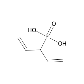 C=CC(C=C)P(=O)(O)O